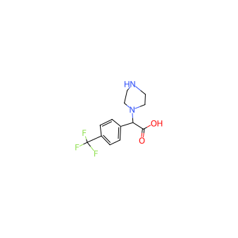 O=C(O)C(c1ccc(C(F)(F)F)cc1)N1CCNCC1